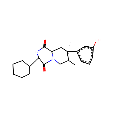 CC1CN2C(=O)C(C3CCCCC3)NC(=O)C2C[C@@]1(C)c1cccc(O)c1